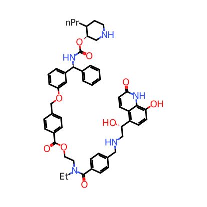 CCCC1CCNC[C@@H]1OC(=O)N[C@@H](c1ccccc1)c1cccc(OCc2ccc(C(=O)OCCN(CC)C(=O)c3ccc(CNC[C@H](O)c4ccc(O)c5[nH]c(=O)ccc45)cc3)cc2)c1